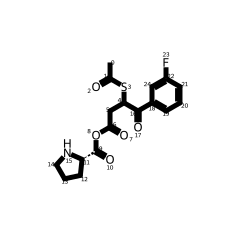 CC(=O)SC(CC(=O)OC(=O)[C@@H]1CCCN1)C(=O)c1cccc(F)c1